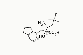 CC(C)(F)CC(N)[C@](O)(Cc1nccc2c1CCC2)C(=O)O